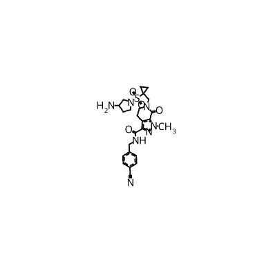 Cn1nc(C(=O)NCc2ccc(C#N)cc2)c2c1C(=O)N(CC1(S(=O)(=O)N3CCC(N)C3)CC1)CC2